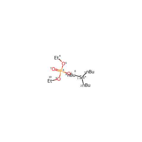 CCC[CH2][Sn+]([CH2]CCC)[CH2]CCC.CCOP(=O)([O-])OCC